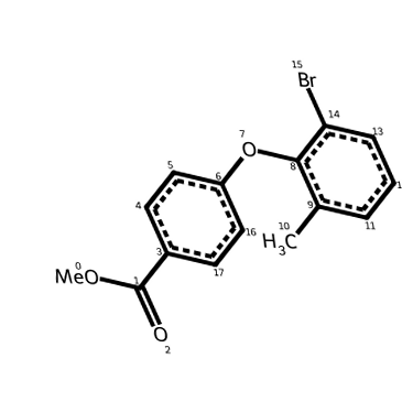 COC(=O)c1ccc(Oc2c(C)cccc2Br)cc1